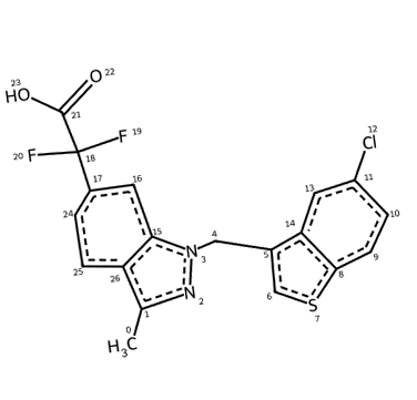 Cc1nn(Cc2csc3ccc(Cl)cc23)c2cc(C(F)(F)C(=O)O)ccc12